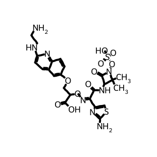 CC1(C)C(NC(=O)C(=NOC(COc2ccc3nc(NCCN)ccc3c2)C(=O)O)c2csc(N)n2)C(=O)N1OS(=O)(=O)O